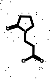 O=C(Cl)CCN1CCCC1=O